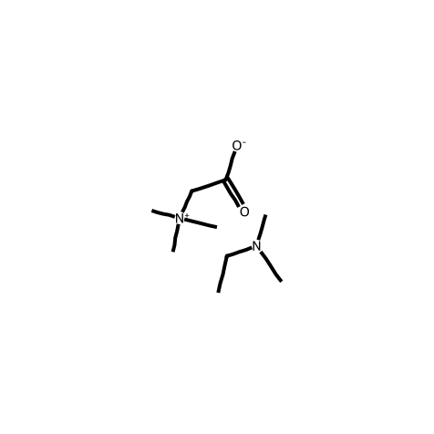 CCN(C)C.C[N+](C)(C)CC(=O)[O-]